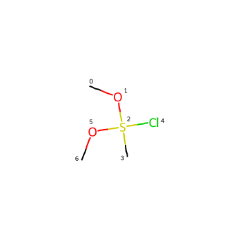 COS(C)(Cl)OC